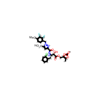 COc1ccc(Cn2nc(C(=O)N[C@H](Cc3ccccc3Cl)[C@@H](O)C(=O)OCc3oc(=O)oc3C)cc2C(=O)O)c(F)c1F